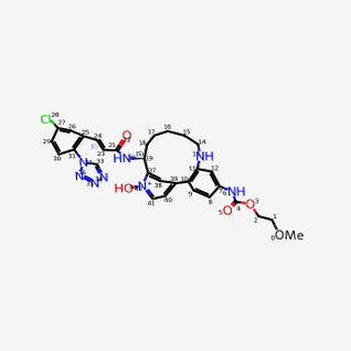 COCCOC(=O)Nc1ccc2c(c1)NCCCCC[C@H](NC(=O)/C=C/c1cc(Cl)ccc1-n1cnnn1)c1cc-2cc[n+]1O